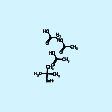 CC(=O)O.CC(=O)O.CC(=O)O.C[C](C)(C)[SnH]